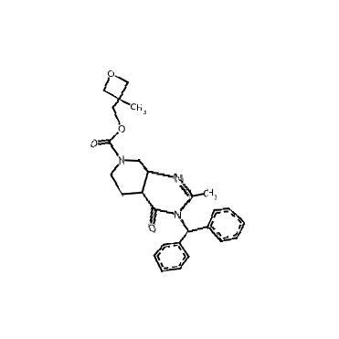 CC1=NC2CN(C(=O)OCC3(C)COC3)CCC2C(=O)N1C(c1ccccc1)c1ccccc1